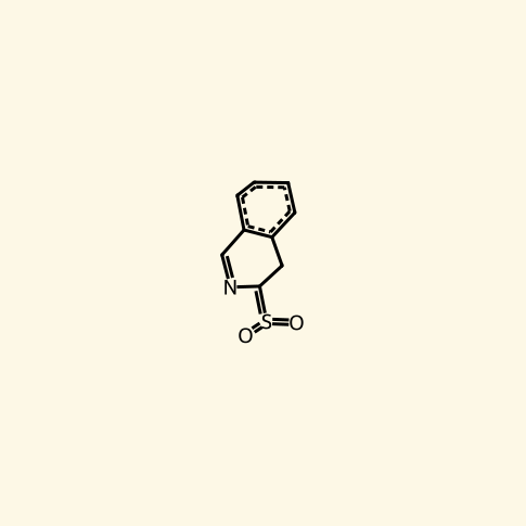 O=S(=O)=C1Cc2ccccc2C=N1